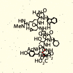 CNC(=N)NCCC[C@H](NC(=O)[C@H](CC1CC1)NC(=O)CNC(=O)[C@H](CC1CCCCC1)NC(=O)[C@@H](NC(=O)[C@H](CC(N)=O)NC(=O)[C@H](CC(=O)O)NC(=O)[C@@H](Cc1ccc(O)cc1)NC(C)=O)[C@@H](C)O)C(=O)N[C@@H](Cc1c[nH]c2ccccc12)C(N)=O